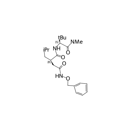 CNC(=O)[C@@H](NC(=O)[C@@H](CC(=O)NOCc1ccccc1)CC(C)C)C(C)(C)C